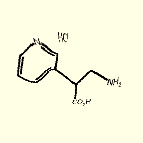 Cl.NCC(C(=O)O)c1cccnc1